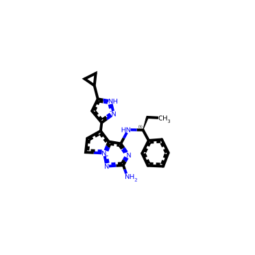 CC[C@H](Nc1nc(N)nn2ccc(-c3cc(C4CC4)[nH]n3)c12)c1ccccc1